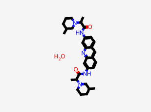 CC1CCCN(C(C)C(=O)Nc2ccc3cc4ccc(NC(=O)C(C)N5CCCC(C)C5)cc4nc3c2)C1.O